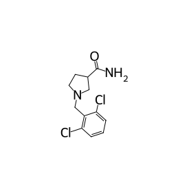 NC(=O)C1CCN(Cc2c(Cl)cccc2Cl)C1